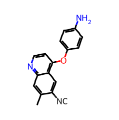 [C-]#[N+]c1cc2c(Oc3ccc(N)cc3)ccnc2cc1C